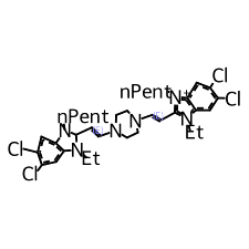 CCCCCN1c2cc(Cl)c(Cl)cc2N(CC)C1/C=C/N1CCN(/C=C/c2n(CC)c3cc(Cl)c(Cl)cc3[n+]2CCCCC)CC1